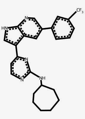 FC(F)(F)c1cccc(-c2cnc3[nH]cc(-c4ccnc(NC5CCCCCC5)n4)c3c2)c1